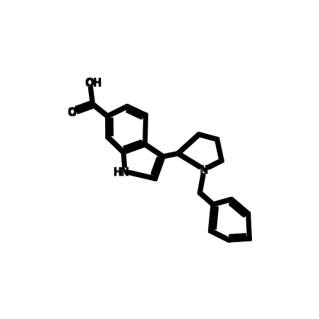 O=C(O)c1ccc2c(C3CCCN3Cc3ccccc3)c[nH]c2c1